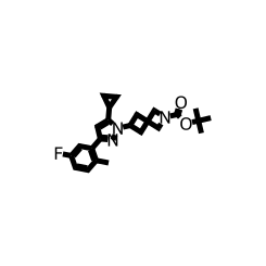 Cc1ccc(F)cc1-c1cc(C2CC2)n(C2CC3(C2)CN(C(=O)OC(C)(C)C)C3)n1